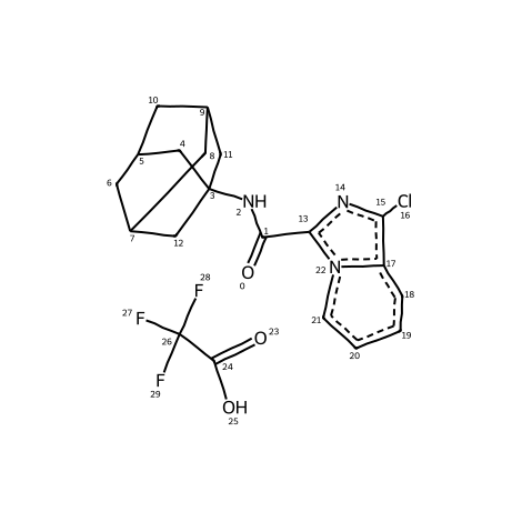 O=C(NC12CC3CC(CC(C3)C1)C2)c1nc(Cl)c2ccccn12.O=C(O)C(F)(F)F